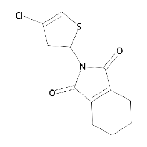 O=C1C2=C(CCCC2)C(=O)N1C1CC(Cl)=CS1